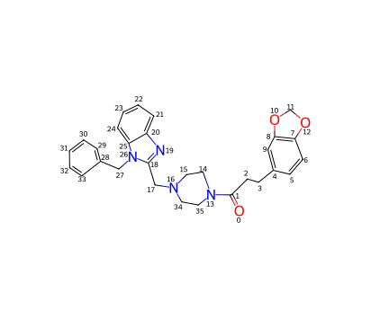 O=C(CCc1ccc2c(c1)OCO2)N1CCN(Cc2nc3ccccc3n2Cc2ccccc2)CC1